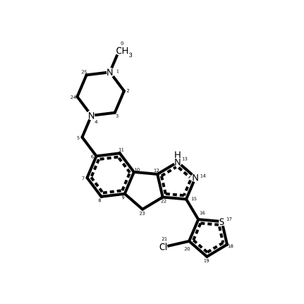 CN1CCN(Cc2ccc3c(c2)-c2[nH]nc(-c4sccc4Cl)c2C3)CC1